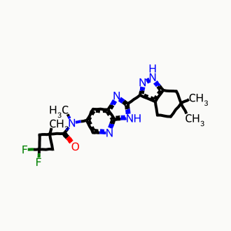 CN(C(=O)C1(C)CC(F)(F)C1)c1cnc2[nH]c(-c3n[nH]c4c3CCC(C)(C)C4)nc2c1